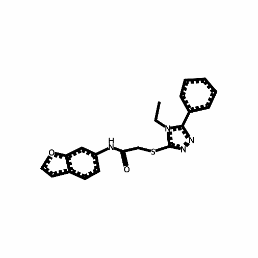 CCn1c(SCC(=O)Nc2ccc3ccoc3c2)nnc1-c1ccccc1